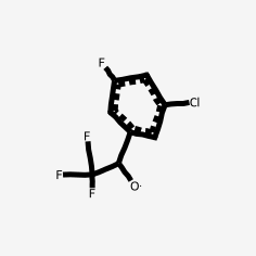 [O]C(c1cc(F)cc(Cl)c1)C(F)(F)F